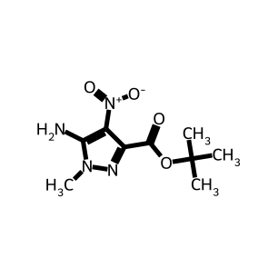 Cn1nc(C(=O)OC(C)(C)C)c([N+](=O)[O-])c1N